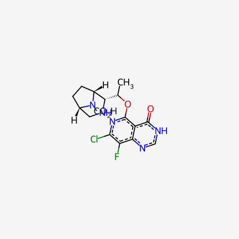 CC(Oc1nc(Cl)c(F)c2nc[nH]c(=O)c12)[C@@H]1NC[C@@H]2CC[C@H]1N2C(=O)O